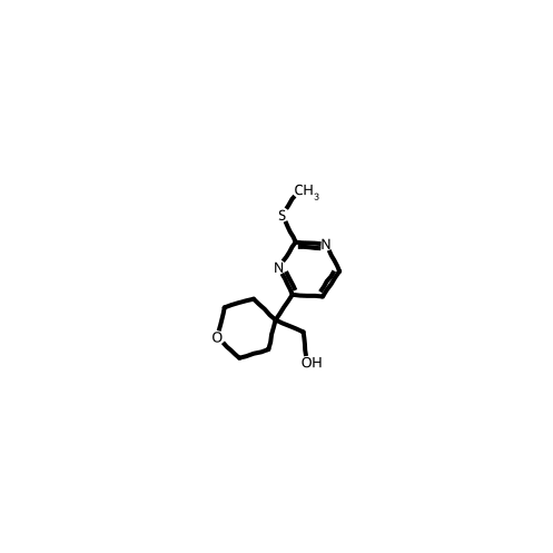 CSc1nccc(C2(CO)CCOCC2)n1